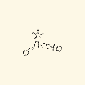 O=C1NC(=O)C(=Cc2cc(OCc3ccccc3)nc(N3CC4CN(S(=O)(=O)c5ccccc5)CC4C3)n2)S1